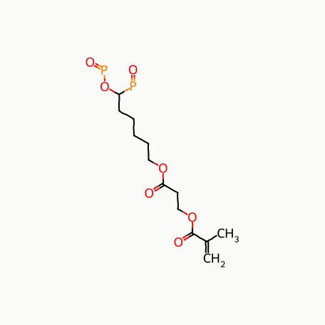 C=C(C)C(=O)OCCC(=O)OCCCCCC(OP=O)P=O